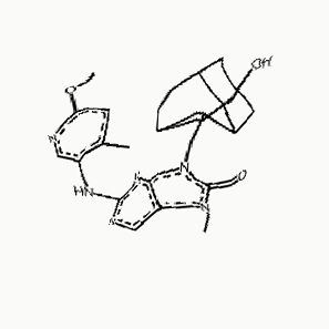 COc1cc(C)c(Nc2ncc3c(n2)n(C2C4CC5CC6(O)CC2C56C4)c(=O)n3C)cn1